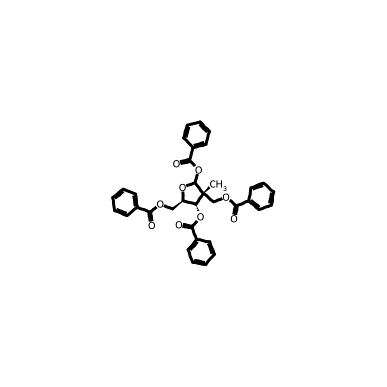 C[C@]1(COC(=O)c2ccccc2)C(OC(=O)c2ccccc2)O[C@H](COC(=O)c2ccccc2)[C@H]1OC(=O)c1ccccc1